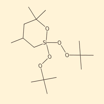 CC1CC(C)(C)O[Si](OOC(C)(C)C)(OOC(C)(C)C)C1